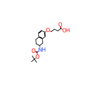 CC(C)(C)OC(=O)NC1CCc2ccc(OCCCC(=O)O)cc2C1